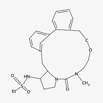 CCS(=O)(=O)NC1CCN2C(=O)N(C)CCOCCc3ccccc3-c3cccc(c3)CC12